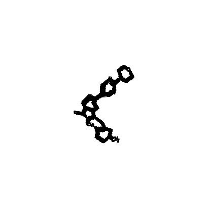 Cc1cccc(Cn2c3cc(-c4cnc(N5CCOCC5)nc4)ccc3c(=O)n2C)c1